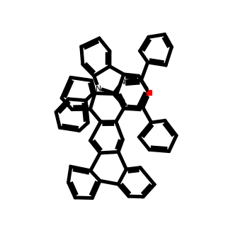 c1ccc(-c2nc(-c3ccccc3)nc(-c3ccccc3-c3cc4c5ccccc5c5ccccc5c4cc3-c3cccc4c5ccccc5n(-c5ccccc5)c34)n2)cc1